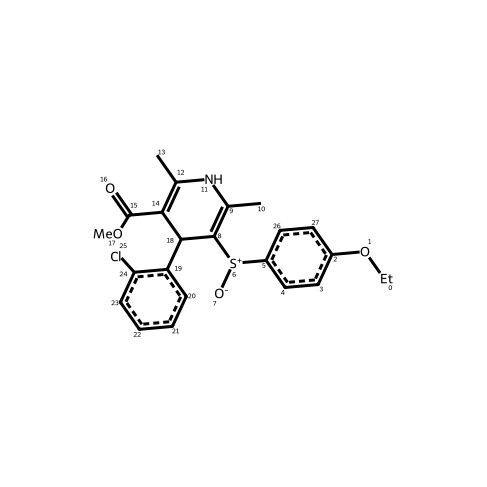 CCOc1ccc([S+]([O-])C2=C(C)NC(C)=C(C(=O)OC)C2c2ccccc2Cl)cc1